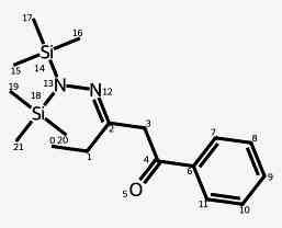 CC/C(CC(=O)c1ccccc1)=N\N([Si](C)(C)C)[Si](C)(C)C